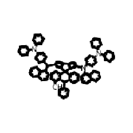 Cc1cccc2c1C(c1ccccc1)c1ccccc1C21c2cc(C(c3ccc(N(c4ccccc4)c4ccccc4)cc3)c3cccc4ccccc34)ccc2-c2ccc(N(c3ccc(N(c4ccccc4)c4ccccc4)cc3)c3cccc4ccccc34)cc21